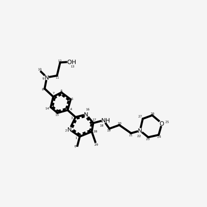 Cc1nc(-c2ccc(CN(C)CCO)cc2)nc(NCCCN2CCOCC2)c1C